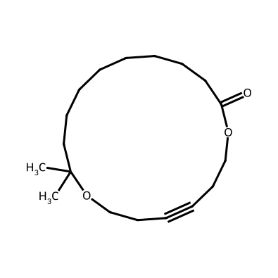 CC1(C)CCCCCCCCC(=O)OCCC#CCCO1